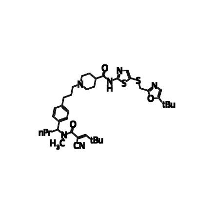 CCCC(c1ccc(CCCN2CCC(C(=O)Nc3ncc(SCc4ncc(C(C)(C)C)o4)s3)CC2)cc1)N(C)C(=O)/C(C#N)=C/C(C)(C)C